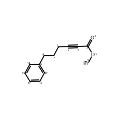 CC(C)OC(=O)C#CCCCc1ccccc1